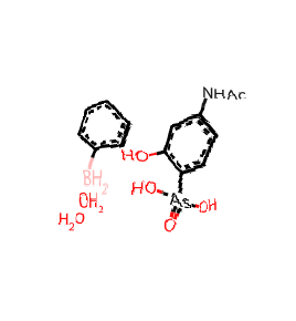 Bc1ccccc1.CC(=O)Nc1ccc([As](=O)(O)O)c(O)c1.O.O